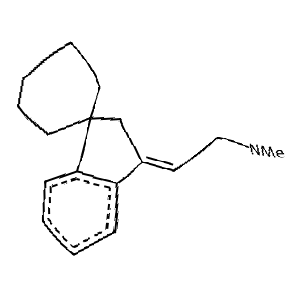 CNCC=C1CC2(CCCCC2)c2ccccc21